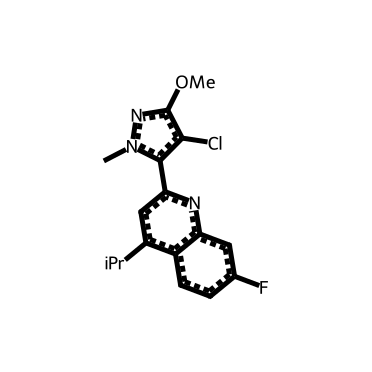 COc1nn(C)c(-c2cc(C(C)C)c3ccc(F)cc3n2)c1Cl